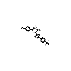 Cl.O=C(N[C@@H](CO)c1nc(-c2ccc(C(F)(F)F)cn2)no1)c1ccc(Cl)cc1